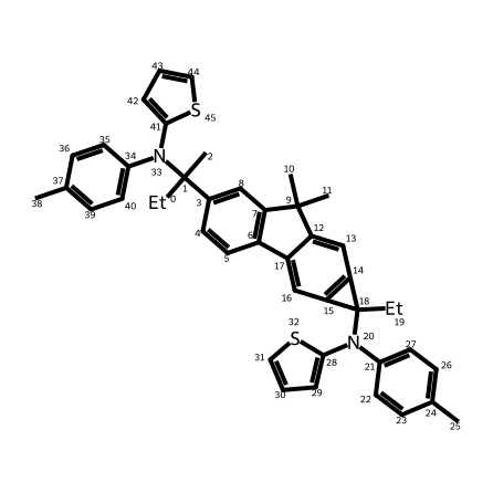 CCC(C)(c1ccc2c(c1)C(C)(C)c1cc3c(cc1-2)C3(CC)N(c1ccc(C)cc1)c1cccs1)N(c1ccc(C)cc1)c1cccs1